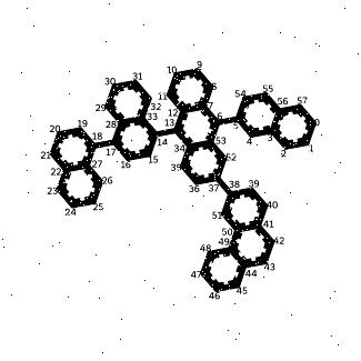 c1ccc2cc(-c3c4ccccc4c(-c4ccc(-c5cccc6ccccc56)c5ccccc45)c4ccc(-c5ccc6ccc7ccccc7c6c5)cc34)ccc2c1